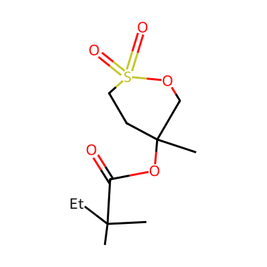 CCC(C)(C)C(=O)OC1(C)CCS(=O)(=O)OC1